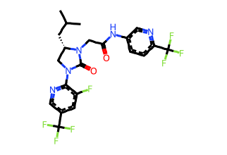 CC(C)C[C@H]1CN(c2ncc(C(F)(F)F)cc2F)C(=O)N1CC(=O)Nc1ccc(C(F)(F)F)nc1